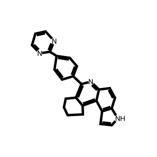 c1cnc(-c2ccc(-c3nc4ccc5[nH]ccc5c4c4c3CCCC4)cc2)nc1